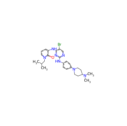 CC(C)Cn1cccc(Nc2nc(Nc3ccc(N4CCC(N(C)C)CC4)cc3)ncc2Br)c1=O